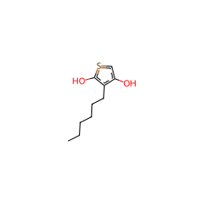 CCCCCCc1c(O)csc1O